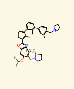 Cc1cc(-c2cccc(-c3cccc(-c4nc5cc(CN6CCCC6C(=O)O)c(OC(F)F)cc5o4)c3C)c2C)ccc1CN1CCCC1